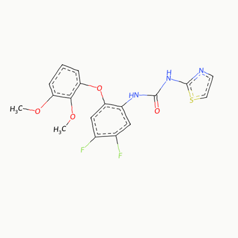 COc1cccc(Oc2cc(F)c(F)cc2NC(=O)Nc2nccs2)c1OC